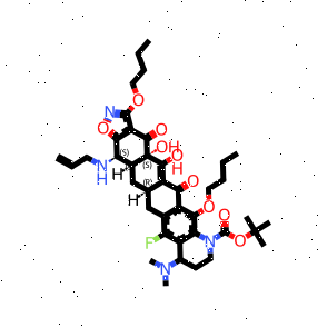 C=CCN[C@@H]1c2onc(OCCCC)c2C(=O)[C@@]2(O)C(O)=C3C(=O)c4c(c(F)c5c(c4OCCCC)N(C(=O)OC(C)(C)C)CCC5N(C)C)C[C@H]3C[C@@H]12